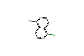 CCc1cccc2c(Br)cccc12